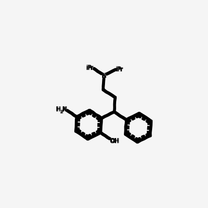 CC(C)N(CCC(c1ccccc1)c1cc(N)ccc1O)C(C)C